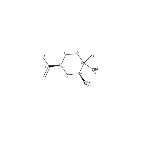 C=C(C)[C@H]1CCC(C)(O)[C@@H](O)C1